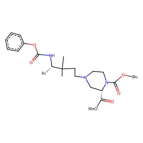 COC(=O)[C@@H]1CN(CCC(C)(C)[C@@H](NC(=O)Oc2ccccc2)C(C)=O)CCN1C(=O)OC(C)(C)C